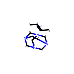 C/C=C/C.C1N2CN3CN1CN(C2)C3